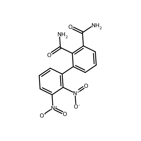 NC(=O)c1cccc(-c2cccc([N+](=O)[O-])c2[N+](=O)[O-])c1C(N)=O